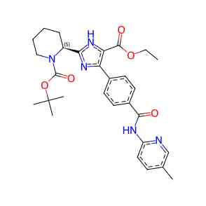 CCOC(=O)c1[nH]c([C@@H]2CCCCN2C(=O)OC(C)(C)C)nc1-c1ccc(C(=O)Nc2ccc(C)cn2)cc1